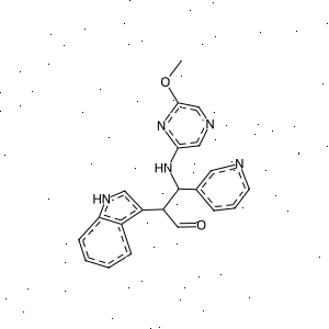 COc1cncc(NC(c2cccnc2)C(C=O)c2c[nH]c3ccccc23)n1